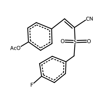 CC(=O)Oc1ccc(/C=C(/C#N)S(=O)(=O)Cc2ccc(F)cc2)cc1